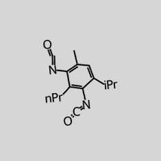 CCCc1c(N=C=O)c(C)cc(C(C)C)c1N=C=O